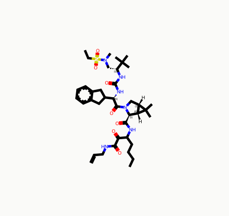 C=CCNC(=O)C(=O)C(CCCC)NC(=O)[C@@H]1[C@@H]2[C@H](CN1C(=O)[C@@H](NC(=O)N[C@H](CN(C)S(=O)(=O)CC)C(C)(C)C)C1Cc3ccccc3C1)C2(C)C